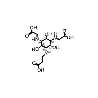 O=C(O)CCN[C@H]1[C@@H](O)[C@@H](NCC(=O)O)[C@@H](O)[C@@H](NCC(=O)O)[C@H]1O